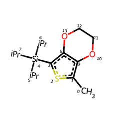 Cc1sc([Si](C(C)C)(C(C)C)C(C)C)c2c1OCCO2